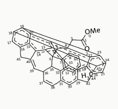 COC(=O)CCCC1(c2ccccc2)c2c3c4c5cc6c7c4c4c8c-7c(cc7c8c8c(cc9c(c8c24)C1C(C=C9)C=C3C5)C7)C6C